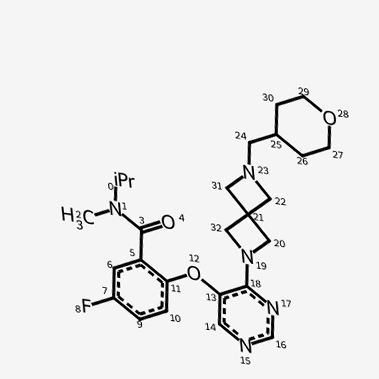 CC(C)N(C)C(=O)c1cc(F)ccc1Oc1cncnc1N1CC2(CN(CC3CCOCC3)C2)C1